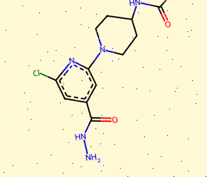 NNC(=O)c1cc(Cl)nc(N2CCC(NC(=O)O)CC2)c1